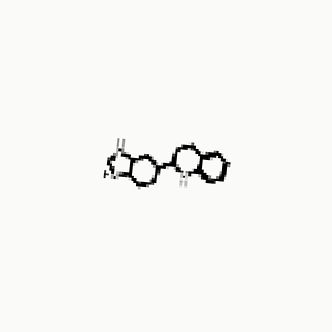 c1ccc2c(c1)CCC(C1CCC3NCNC3C1)N2